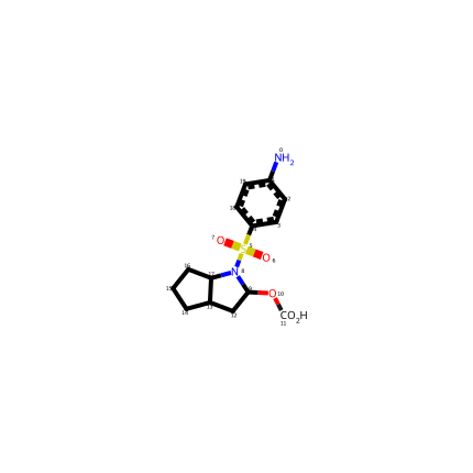 Nc1ccc(S(=O)(=O)N2C(OC(=O)O)CC3CCCC32)cc1